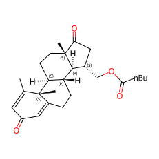 CCCCC(=O)OC[C@H]1CC(=O)[C@@]2(C)CC[C@H]3[C@@H](CCC4=CC(=O)C=C(C)[C@@]43C)[C@H]12